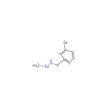 N#Cc1cccc(CNNC(=O)O)c1